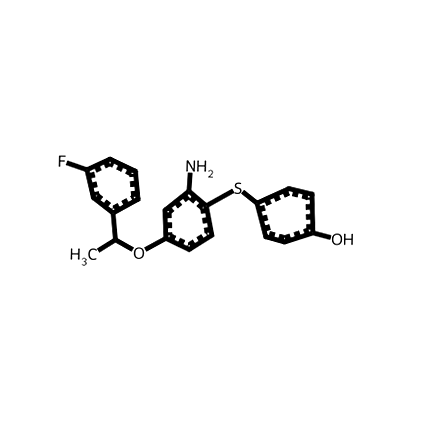 CC(Oc1ccc(Sc2ccc(O)cc2)c(N)c1)c1cccc(F)c1